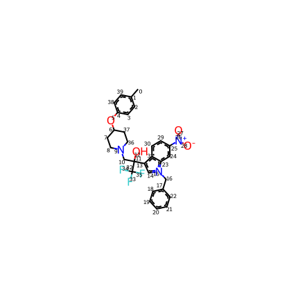 Cc1ccc(OC2CCN(CC(O)(c3cn(Cc4ccccc4)c4cc([N+](=O)[O-])ccc34)C(F)(F)F)CC2)cc1